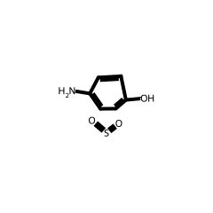 Nc1ccc(O)cc1.O=S=O